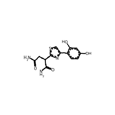 NC(=O)CC(C(N)=O)c1nc(-c2ccc(O)cc2O)cs1